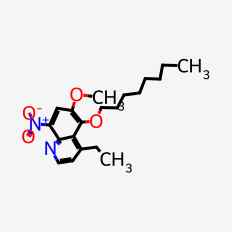 CCCCCCCCOc1c(OC)cc([N+](=O)[O-])c2nccc(CC)c12